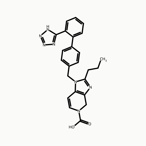 CCCc1nc2c(n1Cc1ccc(-c3ccccc3-c3nnn[nH]3)cc1)C=CN(C(=O)O)C2